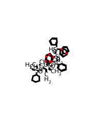 C=C[Si](C=C)(O[Si](C=C)(C=C)O[Si](C=C)(C=C)C1CCCCC1)O[Si](O[Si](O[SiH](c1ccccc1)c1ccccc1)(c1ccccc1)c1ccccc1)(c1ccccc1)c1ccccc1